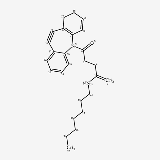 C=C(CCC(=O)N1C2=C(C#Cc3ccccc31)CCC=C2)NCCCCCCC